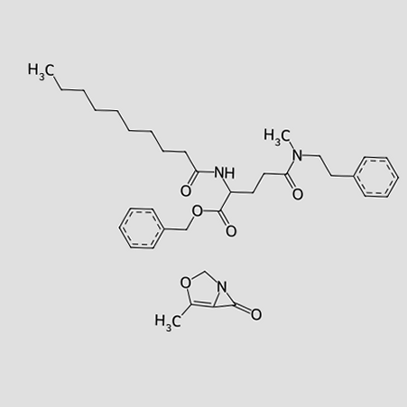 CC1=C2C(=O)N2CO1.CCCCCCCCCC(=O)NC(CCC(=O)N(C)CCc1ccccc1)C(=O)OCc1ccccc1